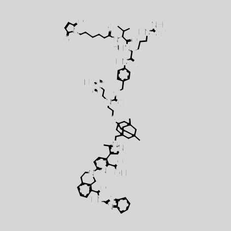 Cc1c(-c2ccc(N3CCc4cccc(C(=O)Nc5nc6ccccc6s5)c4C3)nc2C(=O)O)cnn1CC12CC3(C)CC(C)(C1)CC(OCCN(CCS(=O)(=O)O)C(=O)OCc1ccc(NC(=O)[C@H](CCCNC(N)=O)NC(=O)[C@@H](NC(=O)CCCCCN4C(=O)C=CC4=O)C(C)C)cc1)(C3)C2